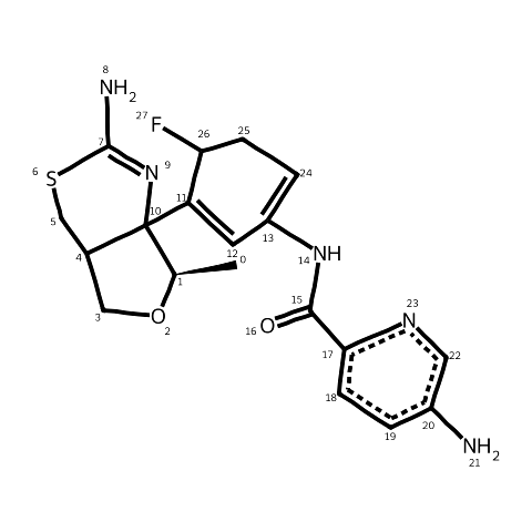 C[C@H]1OCC2CSC(N)=NC21C1=CC(NC(=O)c2ccc(N)cn2)=CCC1F